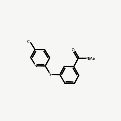 CNC(=O)c1cccc(Sc2ccc(Cl)cn2)c1